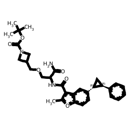 Cc1oc2ccc([C@@H]3C[C@H]3c3ccccc3)cc2c1C(=O)NC(COCC1CN(C(=O)OC(C)(C)C)C1)C(N)=O